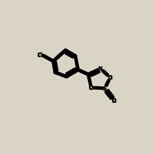 O=S1ON=C(c2ccc(Cl)cc2)O1